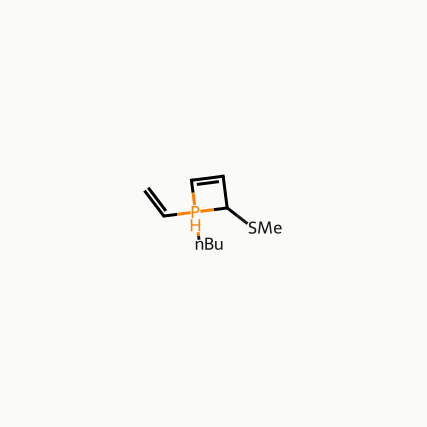 C=C[PH]1(CCCC)C=CC1SC